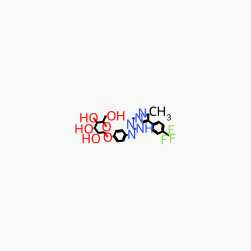 Cc1nn2cn/c(=N\c3ccc(OC4OC(CO)C(O)C(O)C4O)cc3)[nH]c2c1-c1ccc(C(F)(F)F)cc1